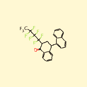 O=C1c2ccccc2C(c2cccc3ccccc23)CC1C(F)(F)C(F)(F)C(F)(F)C(F)(F)F